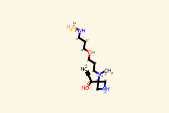 C#CC(O)C1(N(C)CCCOCCCNP)CNC1